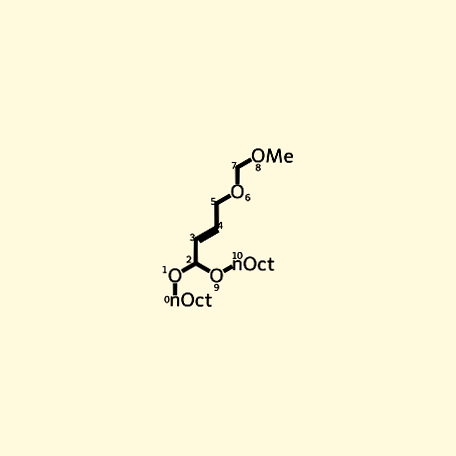 CCCCCCCCOC(C=CCOCOC)OCCCCCCCC